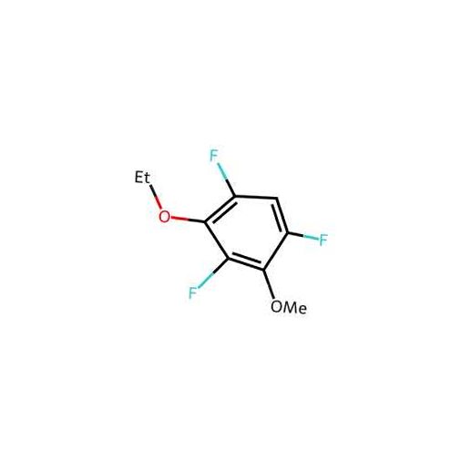 CCOc1c(F)cc(F)c(OC)c1F